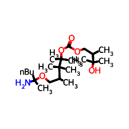 CCCCC(C)(N)OCC(C)C(C)(C)C(C)(C)OC(=O)OCC(C)C(C)(C)O